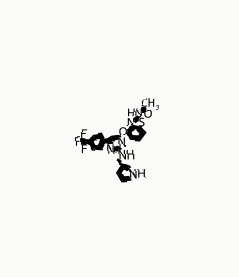 CC(=O)Nc1nc2c(Oc3cc(-c4ccc(C(F)(F)F)cc4)nc(NC[C@@H]4CCCNC4)n3)cccc2s1